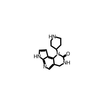 O=C1NCc2cnc3[nH]ccc3c2N1C1CCNCC1